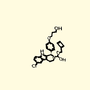 OCCCOc1ccc([C@H]2c3[nH]c4ccc(Cl)cc4c3CCN2C(O)OCC2CCC2)cc1